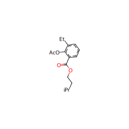 CCc1cccc(C(=O)OCCC(C)C)c1OC(C)=O